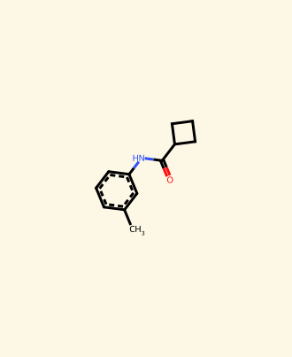 Cc1cccc(NC(=O)C2CCC2)c1